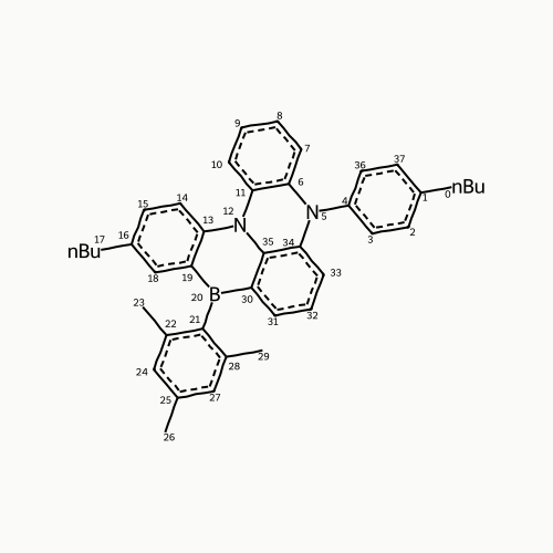 CCCCc1ccc(N2c3ccccc3N3c4ccc(CCCC)cc4B(c4c(C)cc(C)cc4C)c4cccc2c43)cc1